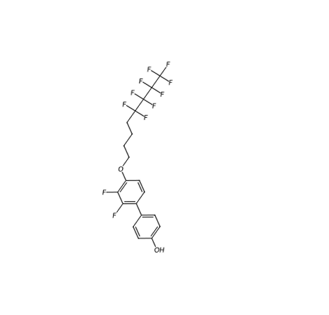 Oc1ccc(-c2ccc(OCCCCC(F)(F)C(F)(F)C(F)(F)C(F)(F)F)c(F)c2F)cc1